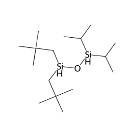 CC(C)[SiH](O[SiH](CC(C)(C)C)CC(C)(C)C)C(C)C